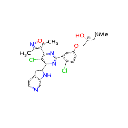 CNC[C@@H](O)COc1ccc(Cl)c(-c2nc(-c3c(C)noc3C)c(Cl)c(C3Cc4ccncc4N3)n2)c1